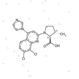 C[C@H]1CCN(c2cc(-n3ccnc3)c3ccc(Cl)c(Cl)c3n2)[C@@H]1C(=O)O